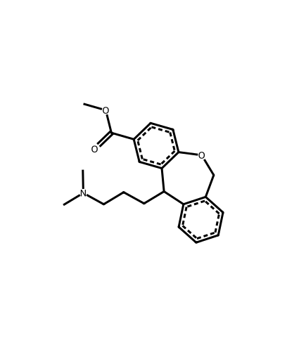 COC(=O)c1ccc2c(c1)C(CCCN(C)C)c1ccccc1CO2